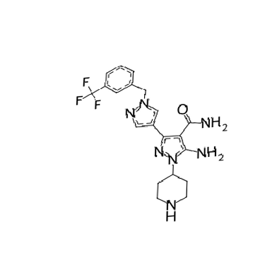 NC(=O)c1c(-c2cnn(Cc3cccc(C(F)(F)F)c3)c2)nn(C2CCNCC2)c1N